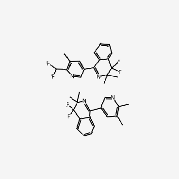 Cc1cc(C2=NC(C)(C)C(F)(F)c3ccccc32)cnc1C.Cc1cc(C2=NC(C)(C)C(F)(F)c3ccccc32)cnc1C(F)F